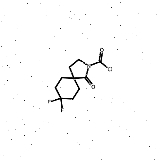 O=C(Cl)N1CCC2(CCC(F)(F)CC2)C1=O